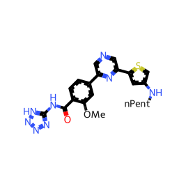 CCCCCNc1csc(-c2cncc(-c3ccc(C(=O)Nc4nnn[nH]4)c(OC)c3)n2)c1